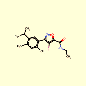 CCNC(=O)c1onc(-c2cc(C(C)C)c(C)cc2C)c1I